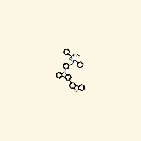 CN/C(=N\N(Cc1ccccc1)Cc1cccc(-n2c3ccccc3c3cc(-c4ccc5sc6ccccc6c5c4)ccc32)c1)c1ccccc1